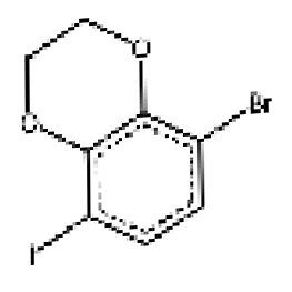 Brc1ccc(I)c2c1OCCO2